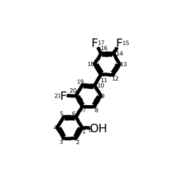 Oc1ccccc1-c1ccc(-c2ccc(F)c(F)c2)cc1F